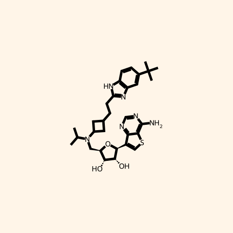 CC(C)N(C[C@H]1O[C@@H](c2csc3c(N)ncnc23)[C@H](O)[C@@H]1O)C1CC(CCc2nc3cc(C(C)(C)C)ccc3[nH]2)C1